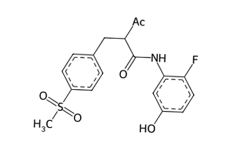 CC(=O)C(Cc1ccc(S(C)(=O)=O)cc1)C(=O)Nc1cc(O)ccc1F